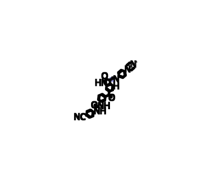 CN1CCN(c2ccc(N/C=C3/C(=O)Nc4cc(C(=O)c5cccc(NC(=O)Nc6ccc(C#N)cc6)c5)ccc43)cc2)CC1